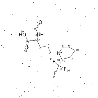 O=CNC(CCCN1CCCC[C@@H]1C(F)(F)F)C(=O)O